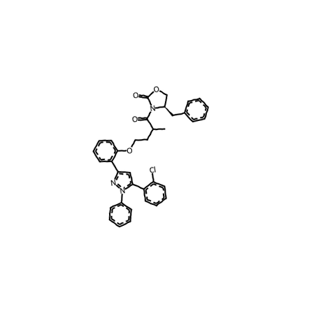 CC(CCOc1ccccc1-c1cc(-c2ccccc2Cl)n(-c2ccccc2)n1)C(=O)N1C(=O)OC[C@H]1Cc1ccccc1